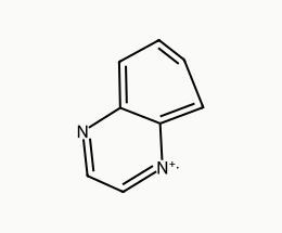 C1=Nc2ccccc2[N+]=C1